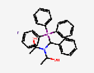 CC(O)N(C(C)O)C(c1ccccc1)[P+](c1ccccc1)(c1ccccc1)c1ccccc1.[I-]